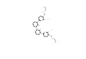 COc1nc(-c2cccc(-c3cccc(-c4ccc(CNC[C@H](C)O)c(OC)n4)c3Cl)c2Cl)ccc1CNC[C@H](C)O